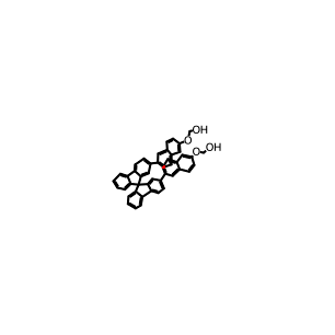 OCOc1ccc2cc(-c3ccc4c(c3)C3(c5ccccc5-4)c4ccccc4-c4ccc(-c5ccc6cc(OCO)ccc6c5)cc43)ccc2c1